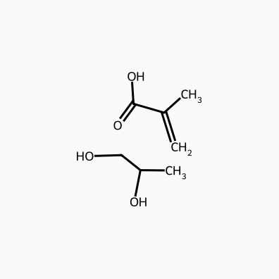 C=C(C)C(=O)O.CC(O)CO